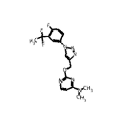 CN(C)c1ccnc(OCc2cn(-c3ccc(F)c(C(C)(F)F)c3)nn2)n1